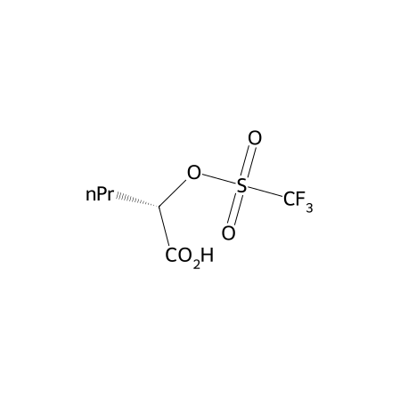 CCC[C@H](OS(=O)(=O)C(F)(F)F)C(=O)O